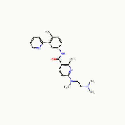 Cc1ccc(NC(=O)c2ccc(N(C)CCN(C)C)nc2C)cc1-c1ccccn1